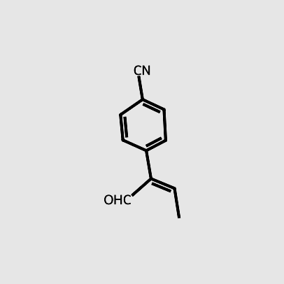 CC=C(C=O)c1ccc(C#N)cc1